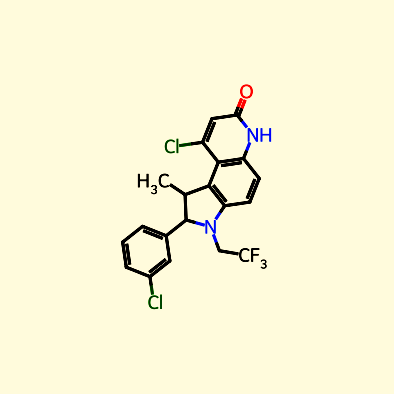 CC1c2c(ccc3[nH]c(=O)cc(Cl)c23)N(CC(F)(F)F)C1c1cccc(Cl)c1